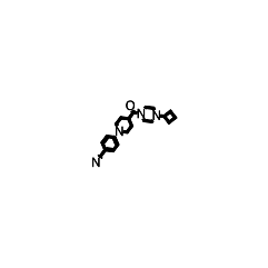 N#Cc1ccc(N2CCC(C(=O)N3CCN(C4CCC4)CC3)CC2)cc1